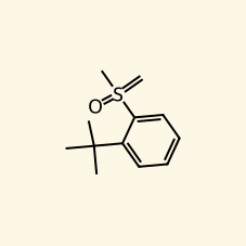 C=S(C)(=O)c1ccccc1C(C)(C)C